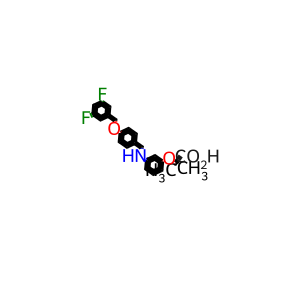 CC(C)(Oc1cccc(NCc2ccc(OCc3cc(F)cc(F)c3)cc2)c1)C(=O)O